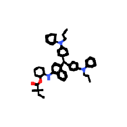 CCCN(c1ccccc1)c1ccc(C(c2ccc(N(CCC)c3ccccc3)cc2)c2ccc(NC3CCCCC3OC(=O)C(C)(C)CC)c3ccccc23)cc1